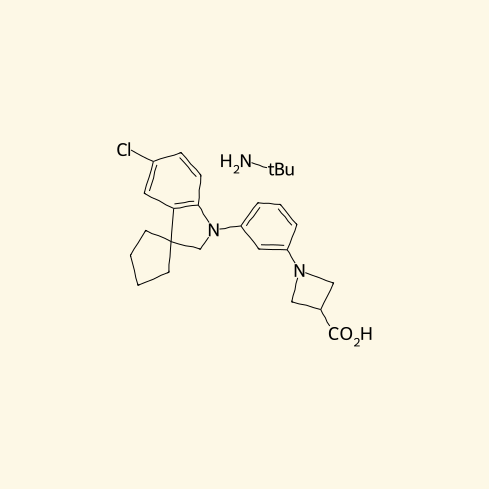 CC(C)(C)N.O=C(O)C1CN(c2cccc(N3CC4(CCCC4)c4cc(Cl)ccc43)c2)C1